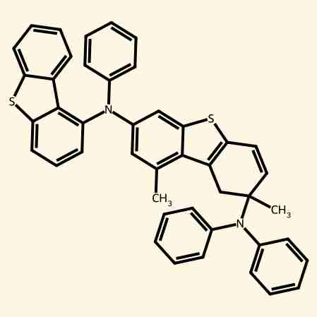 Cc1cc(N(c2ccccc2)c2cccc3sc4ccccc4c23)cc2sc3c(c12)CC(C)(N(c1ccccc1)c1ccccc1)C=C3